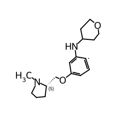 CN1CCC[C@H]1COc1cc[c]c(NC2CCOCC2)c1